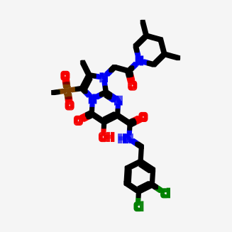 Cc1c(S(C)(=O)=O)n2c(=O)c(O)c(C(=O)NCc3ccc(Cl)c(Cl)c3)nc2n1CC(=O)N1CC(C)CC(C)C1